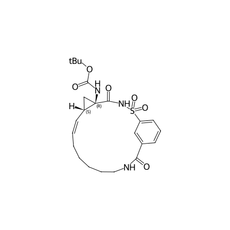 CC(C)(C)OC(=O)N[C@]12C[C@H]1C=CCCCCCNC(=O)c1cccc(c1)S(=O)(=O)NC2=O